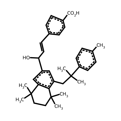 Cc1ccc(C(C)(C)Cc2cc(C(O)/C=C/c3ccc(C(=O)O)cc3)cc3c2C(C)(C)CCC3(C)C)cc1